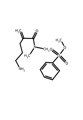 C=C(CCCN)C(=O)N(C)C.COS(=O)(=O)c1ccccc1